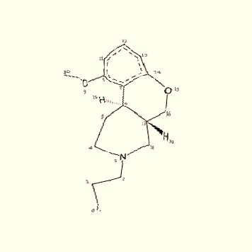 [CH2]CCN1CC[C@H]2c3c(OC)cccc3OC[C@@H]2C1